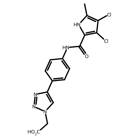 Cc1[nH]c(C(=O)Nc2ccc(-c3cn(CC(=O)O)nn3)cc2)c(Cl)c1Cl